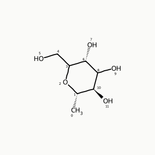 C[C@@H]1OC(CO)[C@H](O)C(O)[C@H]1O